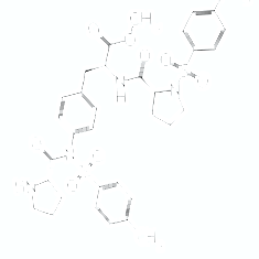 COC(=O)[C@H](Cc1ccc(N(C(=O)[C@@H]2CCCN2)S(=O)(=O)c2ccc(C)cc2)cc1)NC(=O)[C@@H]1CCCN1S(=O)(=O)c1ccc(C)cc1